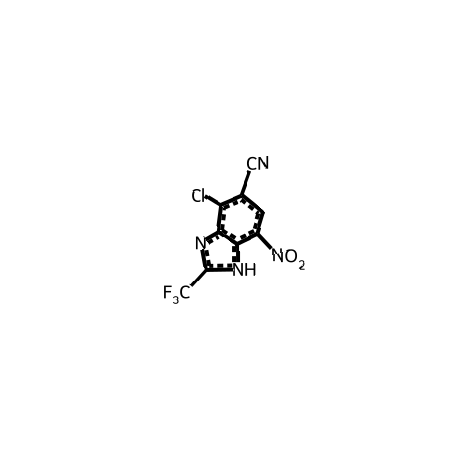 N#Cc1cc([N+](=O)[O-])c2[nH]c(C(F)(F)F)nc2c1Cl